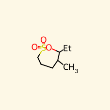 CCC1OS(=O)(=O)CCCC1C